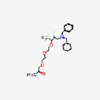 COC(=O)COCCOCCOC(C)C(F)CN(Cc1ccccc1)Cc1ccccc1